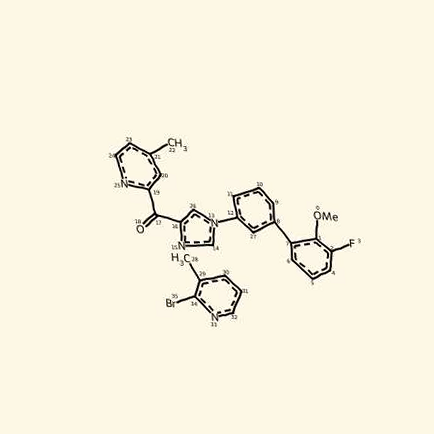 COc1c(F)cccc1-c1cccc(-n2cnc(C(=O)c3cc(C)ccn3)c2)c1.Cc1cccnc1Br